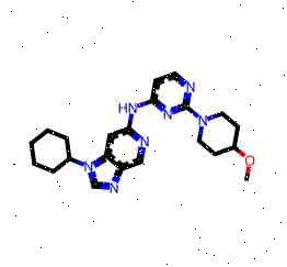 COC1CCN(c2nccc(Nc3cc4c(cn3)ncn4C3CCCCC3)n2)CC1